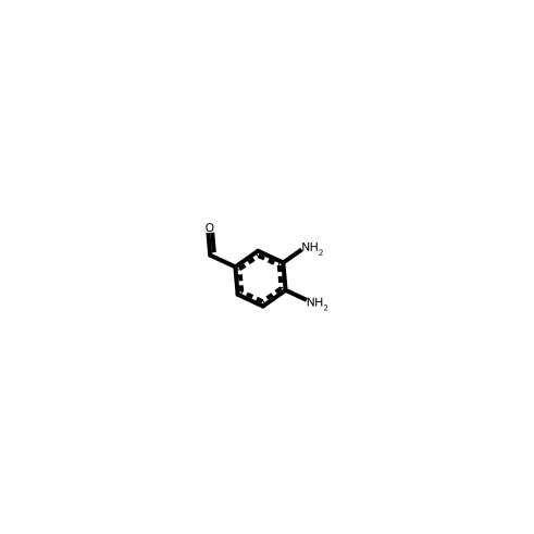 Nc1ccc(C=O)cc1N